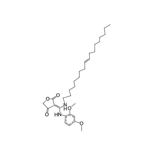 CCCCCCCCC=CCCCCCCCCNC(Nc1ccc(OC)cc1OC)=C1C(=O)COC1=O